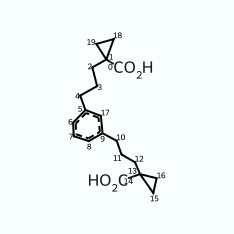 O=C(O)C1(CCCc2cccc(CCCC3(C(=O)O)CC3)c2)CC1